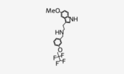 COc1ccc2[nH]cc(CCNCc3cccc(OCC(F)(F)C(F)F)c3)c2c1